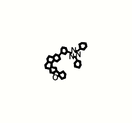 c1ccc(-c2nc(-c3ccccc3)nc(-c3cccc(-c4ccc5c(ccc6ccc7cc8oc9ccccc9c8cc7c65)c4)c3)n2)cc1